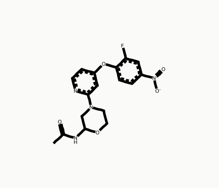 CC(=O)NC1CN(c2cc(Oc3ccc([N+](=O)[O-])cc3F)ccn2)CCO1